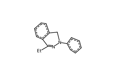 CCC1=NN(c2ccccc2)Cc2ccccc21